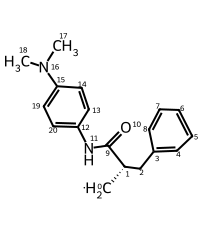 [CH2][C@@H](Cc1ccccc1)C(=O)Nc1ccc(N(C)C)cc1